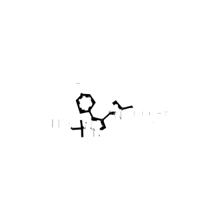 CCOC(=O)Cc1csc(-c2cnn(C(C)(C)CO)c2-c2ccc(F)cc2)n1